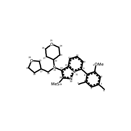 COc1cc(C)cc(C)c1-c1cccc2c(N(CC3CCOC3)C3CCOCC3)c(SC)nn12